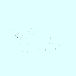 Cc1cc(OCCCNCC(C)(C)C(N)=O)ccc1Cc1c(OC2OC(CO)[C@@H](O)C(O)[C@H]2O)n[nH]c1C(C)C